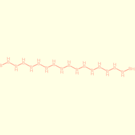 BBBBBBBBBBBBBBBBBB